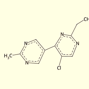 CCc1ncc(Cl)c(-c2cnc(C)nc2)n1